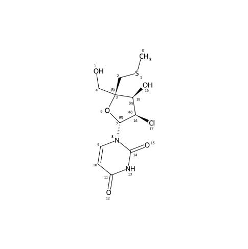 CSC[C@]1(CO)O[C@@H](n2ccc(=O)[nH]c2=O)[C@H](Cl)[C@@H]1O